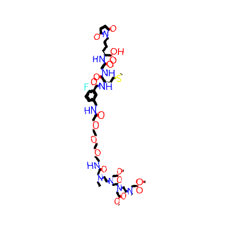 CCN(CCN(CCN(CCN(C)CC(=O)OC)CC(=O)OC)CC(=O)OC)CC(=O)NCCOCCOCCOCC(=O)NCc1ccc(F)c(C(=O)N[C@@H](CCSC)C(=O)NCC(=O)N[C@@H](CCCCN2C(=O)C=CC2=O)C(=O)O)c1